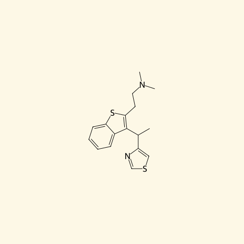 CC(c1cscn1)c1c(CCN(C)C)sc2ccccc12